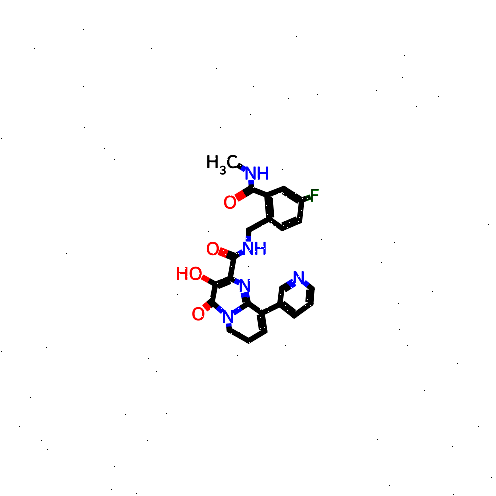 CNC(=O)c1cc(F)ccc1CNC(=O)c1nc2n(c(=O)c1O)CCC=C2c1cccnc1